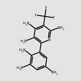 Bc1cc(B)c(B)c(-c2nc(B)c(C(F)(F)F)c(B)c2B)c1